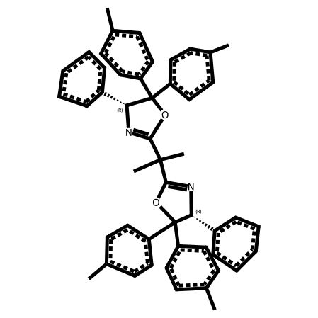 Cc1ccc(C2(c3ccc(C)cc3)OC(C(C)(C)C3=N[C@H](c4ccccc4)C(c4ccc(C)cc4)(c4ccc(C)cc4)O3)=N[C@@H]2c2ccccc2)cc1